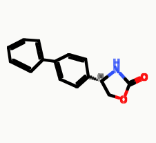 O=C1N[C@@H](c2ccc(-c3ccccc3)cc2)CO1